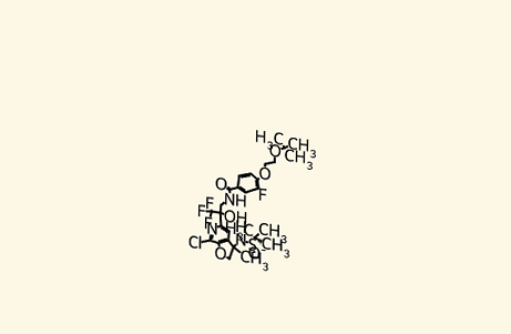 CC(C)(C)OCCOc1ccc(C(=O)NCC(O)(c2cc3c(c(Cl)n2)OCC3(C)N[S+]([O-])C(C)(C)C)C(F)(F)F)cc1F